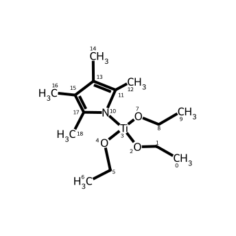 CC[O][Ti]([O]CC)([O]CC)[n]1c(C)c(C)c(C)c1C